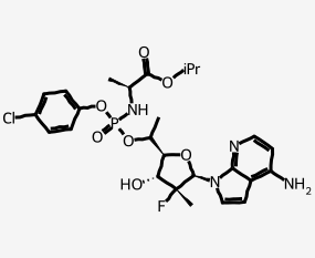 CC(C)OC(=O)[C@H](C)NP(=O)(Oc1ccc(Cl)cc1)OC(C)[C@H]1O[C@@H](n2ccc3c(N)ccnc32)[C@](C)(F)[C@@H]1O